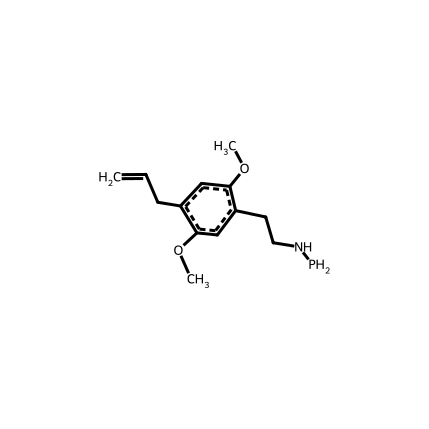 C=CCc1cc(OC)c(CCNP)cc1OC